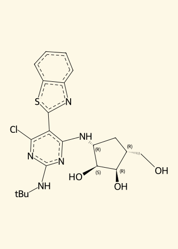 CC(C)(C)Nc1nc(Cl)c(-c2nc3ccccc3s2)c(N[C@@H]2C[C@H](CO)[C@@H](O)[C@H]2O)n1